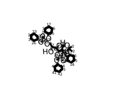 CC1(C)O[C@H]2O[C@H]([C@H](O)COP(=O)(Oc3ccccc3)Oc3ccccc3)[C@H](OP(=O)(Oc3ccccc3)Oc3ccccc3)[C@H]2O1